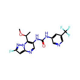 COC(C)c1c(NC(=O)Nc2cncc(C(F)(F)F)c2)cnc2cc(F)nn12